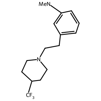 CNc1cccc(CCN2CCC(C(F)(F)F)CC2)c1